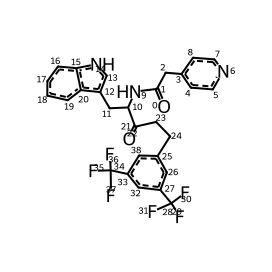 O=C(Cc1ccncc1)NC(Cc1c[nH]c2ccccc12)C(=O)CCc1cc(C(F)(F)F)cc(C(F)(F)F)c1